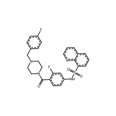 O=C(c1ccc(NS(=O)(=O)c2cccc3cccnc23)cc1F)N1CCN(Cc2ccc(F)cc2)CC1